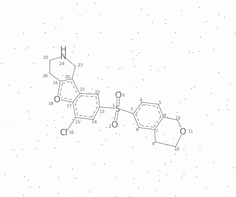 O=S(=O)(c1ccc2c(c1)CCOC2)c1cc(Cl)c2oc3c(c2c1)CNCC3